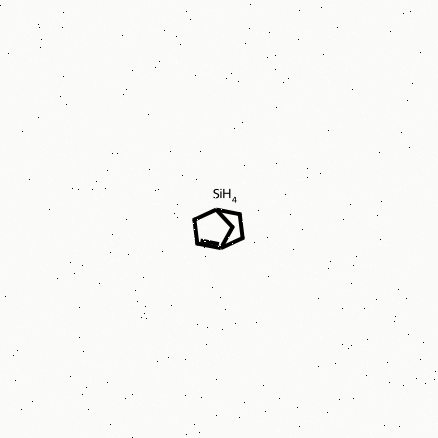 C1=C2CCC(C1)C2.[SiH4]